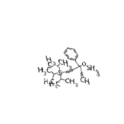 C#CC(C#C[Si](C(C)C)(C(C)C)C(C)C)(O[SiH3])c1ccccc1